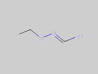 CC(C)CN/N=C/N